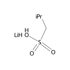 CC(C)CS(=O)(=O)O.[LiH]